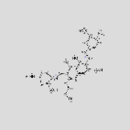 CC(=O)Nc1ccc(/N=N/c2c(SOOO)cc3cc(S(=O)(=O)O)c(/N=N/c4ccc([N+](=O)[O-])c(S(=O)(=O)O)c4)c(O)c3c2O)c(S(=O)(=O)O)c1